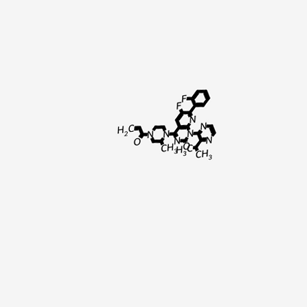 C=CC(=O)N1CCN(c2nc(=O)n(-c3nccnc3C(C)C)c3nc(-c4ccccc4F)c(F)cc23)C(C)C1